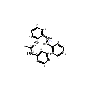 CC(=O)Nc1ccccc1.c1ccc(/N=N/c2ccccc2)cc1